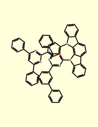 c1ccc(-c2cccc(-c3nc(-c4ccccc4)nc(-n4c5ccccc5c5ccc6c7ccccc7n(-c7ccc(-c8nc(-c9ccccc9)cc(-c9ccccc9)n8)cc7)c6c54)n3)c2)cc1